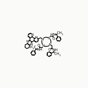 C[C@H](NC(=O)CN1CCN(CC(=O)N[C@H](C)c2ccccc2)CCN(CC(=O)N[C@@H](C)c2ccccc2)CCN(Cc2ccc3c(n2)c2ncccc2c2nc4c(nc32)CCCC4)CC1)c1ccccc1